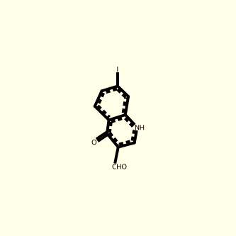 O=Cc1c[nH]c2cc(I)ccc2c1=O